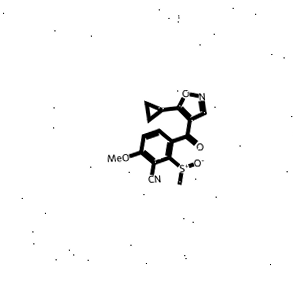 COc1ccc(C(=O)c2cnoc2C2CC2)c([S+](C)[O-])c1C#N